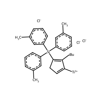 CCC(C)C1=C([Si](c2cccc(C)c2)(c2cccc(C)c2)c2cccc(C)c2)CC=[C]1[Ti+3].[Cl-].[Cl-].[Cl-]